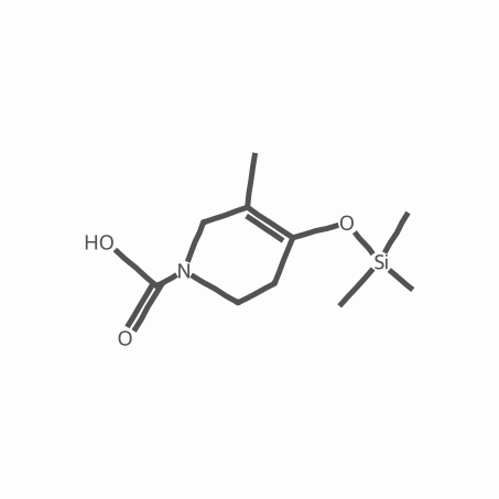 CC1=C(O[Si](C)(C)C)CCN(C(=O)O)C1